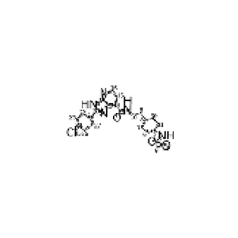 CS(=O)(=O)Nc1ccc(CCNC(=O)c2ccnc3[nH]c(-c4ccc(Cl)cc4)nc23)cc1